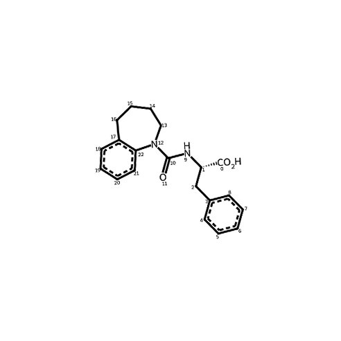 O=C(O)[C@H](Cc1ccccc1)NC(=O)N1CCCCc2ccccc21